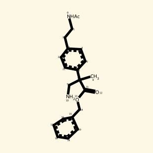 CC(=O)NCCc1ccc(C(C)(CN)C(=O)OCc2ccccc2)cc1